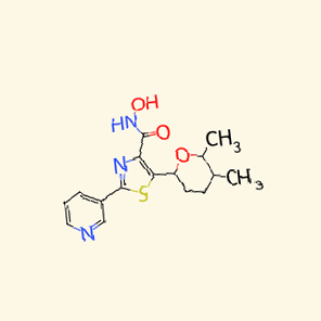 CC1CCC(c2sc(-c3cccnc3)nc2C(=O)NO)OC1C